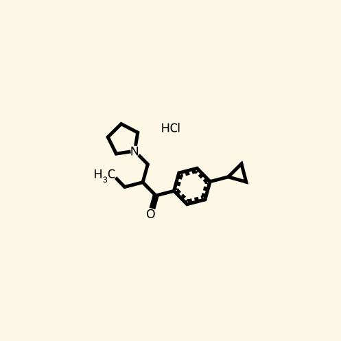 CCC(CN1CCCC1)C(=O)c1ccc(C2CC2)cc1.Cl